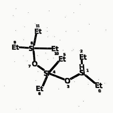 CC[SiH](CC)O[Si](CC)(CC)O[Si](CC)(CC)CC